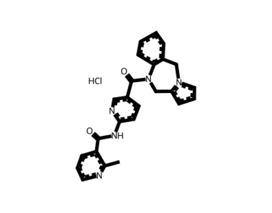 Cc1ncccc1C(=O)Nc1ccc(C(=O)N2Cc3cccn3Cc3ccccc32)cn1.Cl